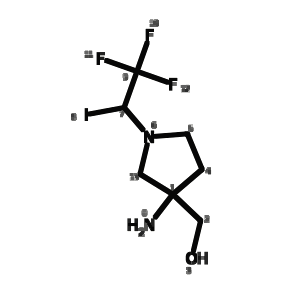 NC1(CO)CCN(C(I)C(F)(F)F)C1